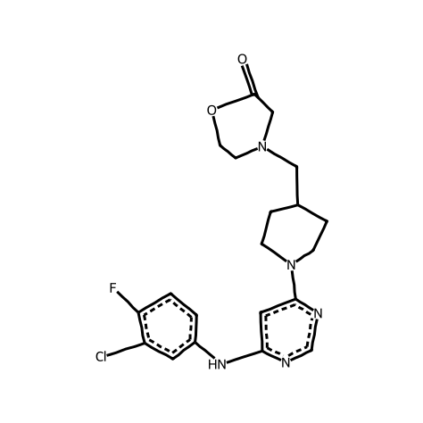 O=C1CN(CC2CCN(c3cc(Nc4ccc(F)c(Cl)c4)ncn3)CC2)CCO1